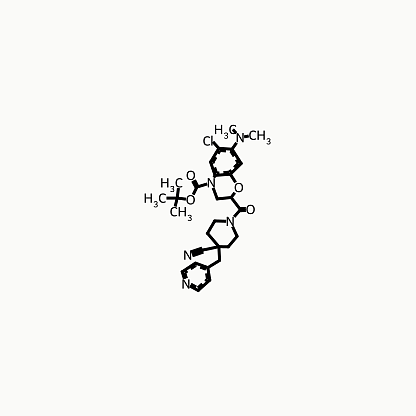 CN(C)c1cc2c(cc1Cl)N(C(=O)OC(C)(C)C)CC(C(=O)N1CCC(C#N)(Cc3ccncc3)CC1)O2